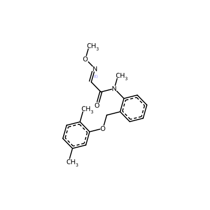 CO/N=C/C(=O)N(C)c1ccccc1COc1cc(C)ccc1C